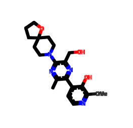 COc1nccc(-c2nc(CO)c(N3CCC4(CCCO4)CC3)nc2C)c1O